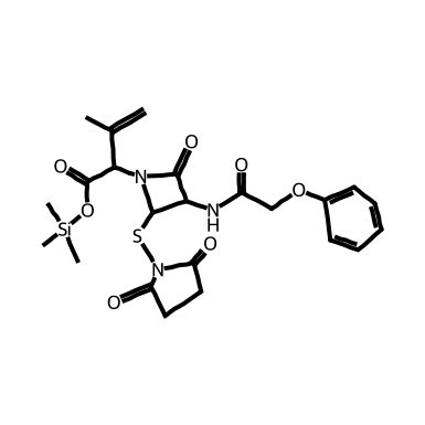 C=C(C)C(C(=O)O[Si](C)(C)C)N1C(=O)C(NC(=O)COc2ccccc2)C1SN1C(=O)CCC1=O